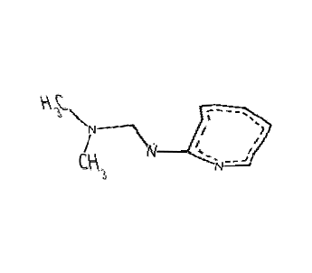 CN(C)C[N]c1ccccn1